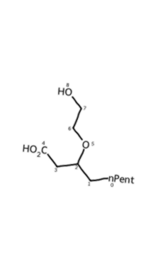 CCCCCCC(CC(=O)O)OCCO